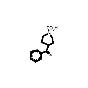 O=C(O)N1CCC(C(=S)c2ccccc2)CC1